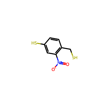 O=[N+]([O-])c1cc(S)ccc1CS